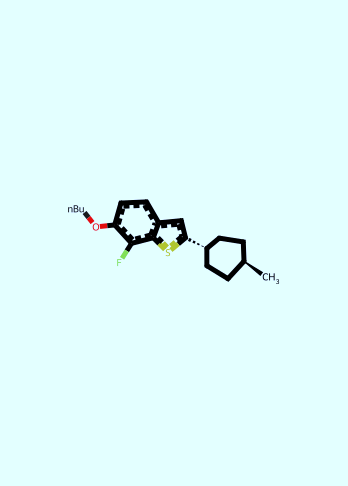 CCCCOc1ccc2cc([C@H]3CC[C@H](C)CC3)sc2c1F